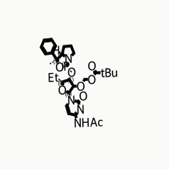 CC[C@H]1O[C@@H](n2ccc(NC(C)=O)nc2=O)C(OCOC(=O)C(C)(C)C)[C@H]1O[P@]1O[C@@](C)(c2ccccc2)[C@H]2CCCN21